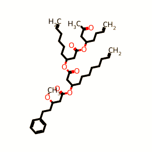 C=CCCCCCCC(CC(=O)OC(CCCCC=C)CC(=O)OC(CCC=C)CC(C)=O)OC(=O)CC(CCc1ccccc1)OC